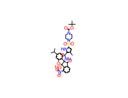 Cc1cc(S(=O)(=O)N2CCN(C(=O)OC(C)(C)C)CC2)[nH]c1C(=O)NC12C(=O)c3cccc([N+](=O)[O-])c3C1(O)Oc1cc(C(C)C)ccc12